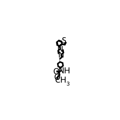 COCC(=O)N[C@H]1CC[C@H](CCN2CCN(c3cccc4sccc34)CC2)CC1